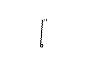 OCCCCCCCCCCCCCCCCCCCc1ccccc1